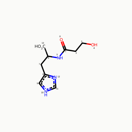 O=C(CCO)NC(Cc1c[nH]cn1)C(=O)O